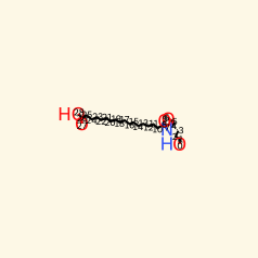 O=CCC[C@@H](C=O)NC(=O)CCCCCCCCCCCCCCCCC(=O)O